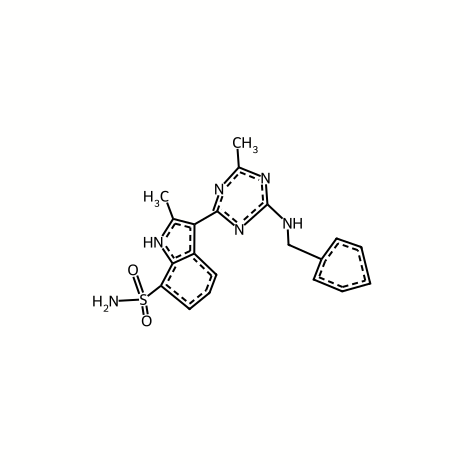 Cc1nc(NCc2ccccc2)nc(-c2c(C)[nH]c3c(S(N)(=O)=O)cccc23)n1